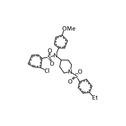 CCc1ccc(S(=O)(=O)N2CCC(N(c3ccc(OC)cc3)S(=O)(=O)c3ccccc3Cl)CC2)cc1